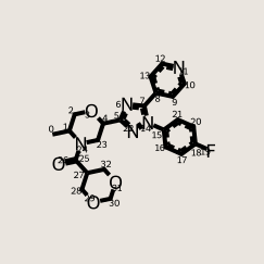 CC1COC(c2nc(-c3ccncc3)n(-c3ccc(F)cc3)n2)CN1C(=O)C1COCOC1